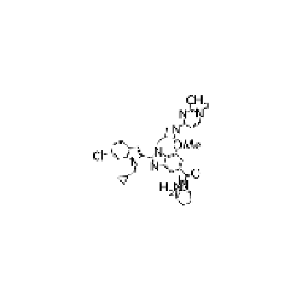 COc1cc(C(=O)N2CC3CCC2[C@@H]3N)cc2nc(-c3cc4ccc(Cl)cc4n3CC3CC3)n(CC3CN(c4ccnc(C)n4)C3)c12